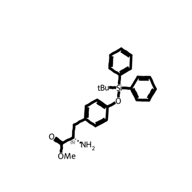 COC(=O)[C@@H](N)Cc1ccc(O[Si](c2ccccc2)(c2ccccc2)C(C)(C)C)cc1